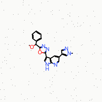 COC(c1ccccc1)c1nnc(-c2c[nH]c3ncc(-c4cnn(C)c4)cc23)o1